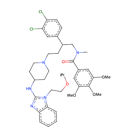 COc1cc(C(=O)N(C)CC(CCN2CCC(Nc3nc4ccccc4n3CCOC(C)C)CC2)c2ccc(Cl)c(Cl)c2)cc(OC)c1OC